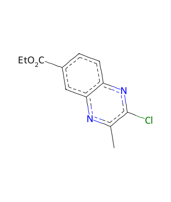 CCOC(=O)c1ccc2nc(Cl)c(C)nc2c1